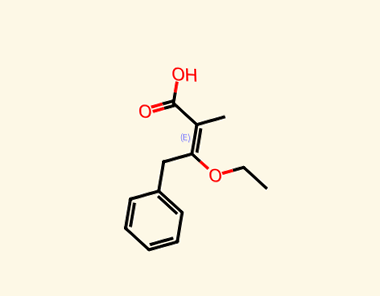 CCO/C(Cc1ccccc1)=C(\C)C(=O)O